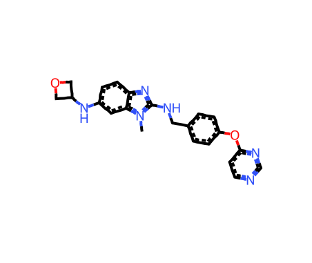 Cn1c(NCc2ccc(Oc3ccncn3)cc2)nc2ccc(NC3COC3)cc21